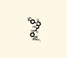 CCCOc1ccc(-n2c(=O)ccc3cc(C(=O)Nc4cccc(S(N)(=O)=O)c4)[nH]c32)cc1